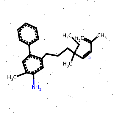 C=C(C)/C=C\C(C)(CC)CCCc1cc(N)c(C)cc1-c1ccccc1